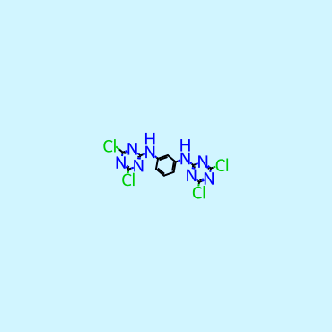 Clc1nc(Cl)nc(Nc2cccc(Nc3nc(Cl)nc(Cl)n3)c2)n1